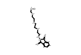 O=CCOCCOCCOCCON1C(=O)c2ccccc2C1=O